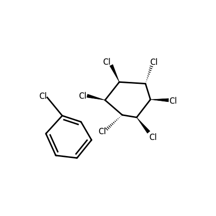 Cl[C@H]1[C@H](Cl)[C@@H](Cl)[C@@H](Cl)[C@H](Cl)[C@H]1Cl.Clc1ccccc1